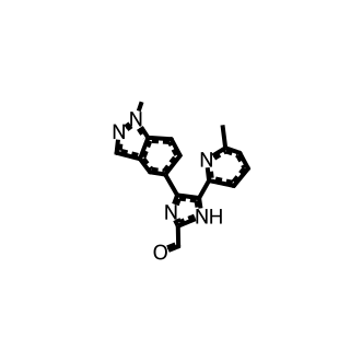 Cc1cccc(-c2[nH]c(C=O)nc2-c2ccc3c(cnn3C)c2)n1